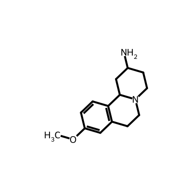 COc1ccc2c(c1)CCN1CCC(N)CC21